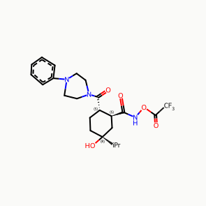 CC(C)[C@@]1(O)CC[C@H](C(=O)N2CCN(c3ccccc3)CC2)[C@@H](C(=O)NOC(=O)C(F)(F)F)C1